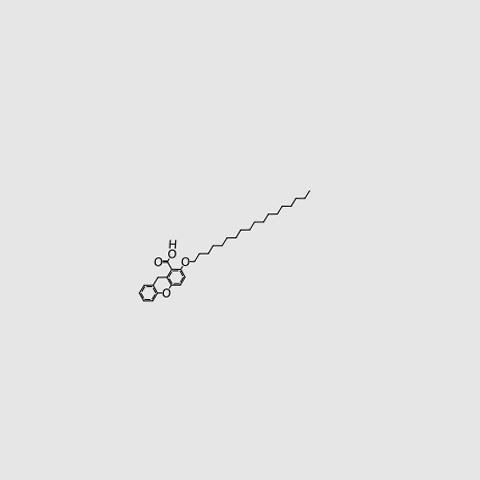 CCCCCCCCCCCCCCCCCCOc1ccc2c(c1C(=O)O)Cc1ccccc1O2